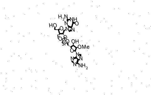 CO[C@@H]1[C@H](O)[C@@H](COP(=O)(S)O[C@@H]2[C@H](F)[C@@H](CO)O[C@H]2n2cnc3c(=O)[nH]c(N)nc32)O[C@H]1n1cnc2c(N)ncnc21